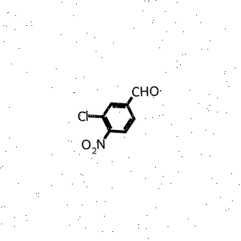 O=[C]c1ccc([N+](=O)[O-])c(Cl)c1